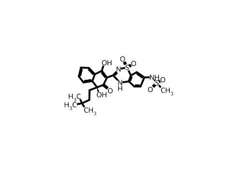 CC(C)(C)CC[C@@]1(O)C(=O)C(C2=NS(=O)(=O)c3cc(NS(C)(=O)=O)ccc3N2)=C(O)c2ccccc21